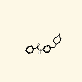 CN1CCN(Cc2ccc(NC(=O)c3ccccc3)cc2)CC1